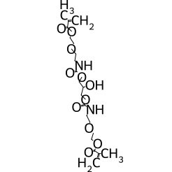 C=C(C)C(=O)OCCOCCNC(=O)OCC(O)COC(=O)NCCOCCOC(=O)C(=C)C